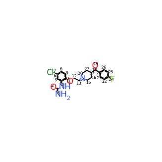 NC(=O)Nc1cc(Cl)ccc1OCCN1CCC(C(=O)c2ccc(F)cc2)CC1